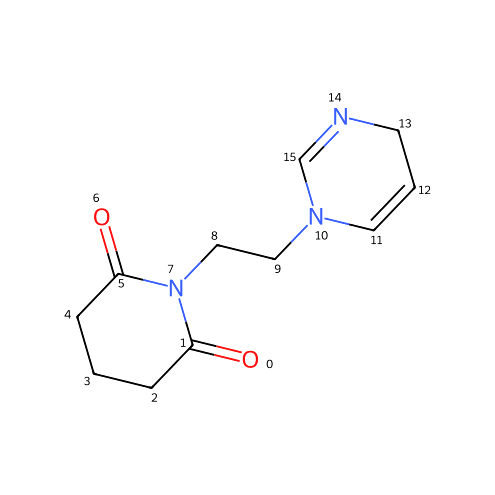 O=C1CCCC(=O)N1CCN1C=CCN=C1